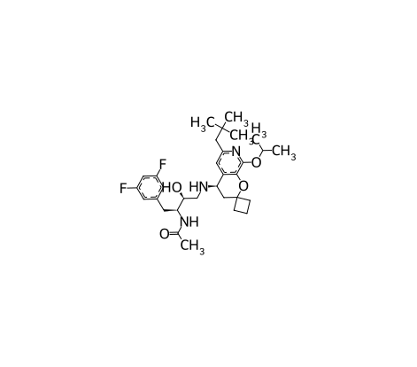 CC(=O)N[C@@H](Cc1cc(F)cc(F)c1)[C@@H](O)CN[C@@H]1CC2(CCC2)Oc2c1cc(CC(C)(C)C)nc2OC(C)C